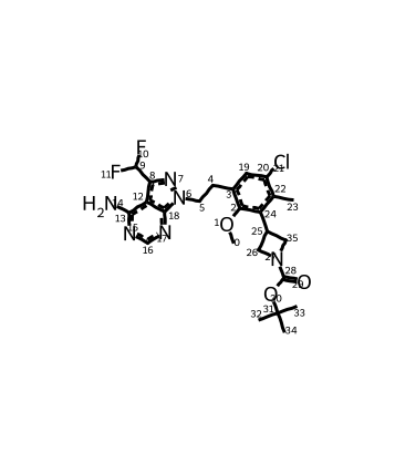 COc1c(CCn2nc(C(F)F)c3c(N)ncnc32)cc(Cl)c(C)c1C1CN(C(=O)OC(C)(C)C)C1